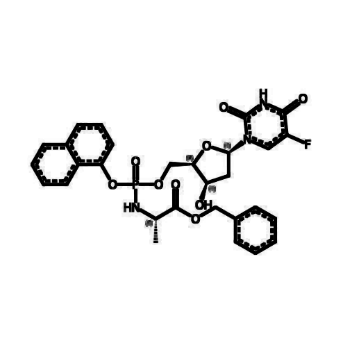 C[C@H](NP(=O)(OC[C@H]1O[C@@H](n2cc(F)c(=O)[nH]c2=O)C[C@H]1O)Oc1cccc2ccccc12)C(=O)OCc1ccccc1